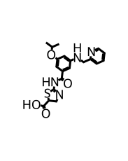 CC(C)Oc1cc(NCc2ccccn2)cc(C(=O)NC2=NCC(C(=O)O)S2)c1